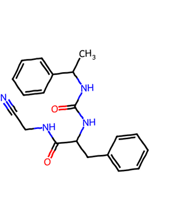 CC(NC(=O)NC(Cc1ccccc1)C(=O)NCC#N)c1ccccc1